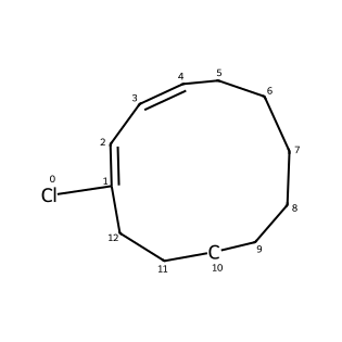 ClC1=CC=CCCCCCCCC1